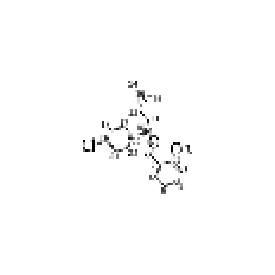 COc1ccccc1CO[C@H](CCN(C)C)c1ccc(Cl)cc1